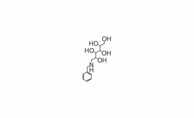 OCC(O)C(O)C(O)C(O)CNCc1ccccc1